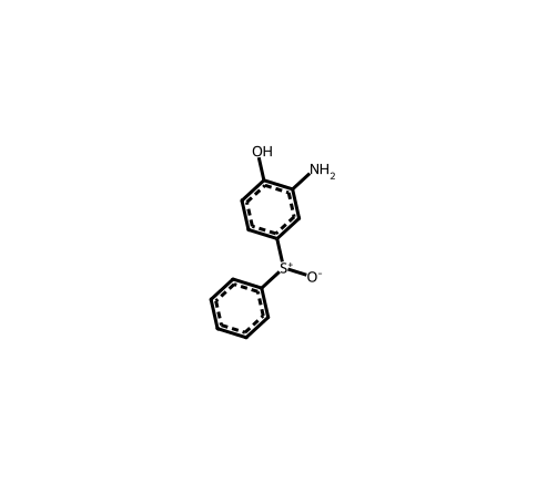 Nc1cc([S+]([O-])c2ccccc2)ccc1O